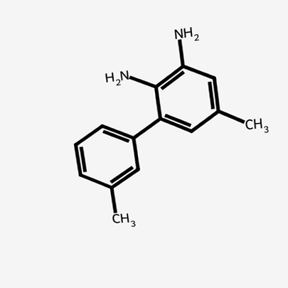 Cc1cccc(-c2cc(C)cc(N)c2N)c1